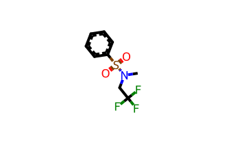 CN(CC(F)(F)F)S(=O)(=O)c1ccccc1